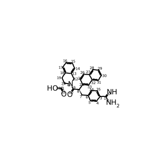 N=C(N)c1ccc(C[C@@H](C(=O)N2Cc3ccccc3C[C@H]2C(=O)O)c2ccc3ccccc3c2)cc1